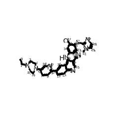 CCN1CCN(c2ccc(-c3ccc4ncc(C#N)c(Nc5ccc(Sc6nccn6C)c(Cl)c5)c4c3)nc2)CC1